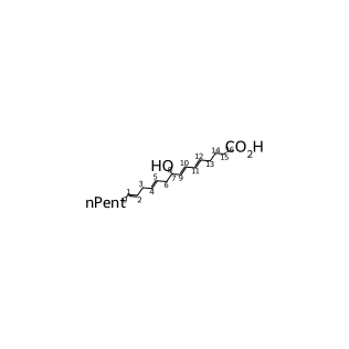 CCCCCC=CCC=CCC(O)C=CC=CCCCC(=O)O